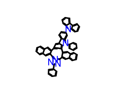 c1ccc(-c2nc3nc(n2)c2cc4ccccc4cc2c2cc(cc4c5ccc(-n6c7ccccc7c7ccccc76)cc5n(-c5ccccc5)c24)c2cc4ccccc4cc32)cc1